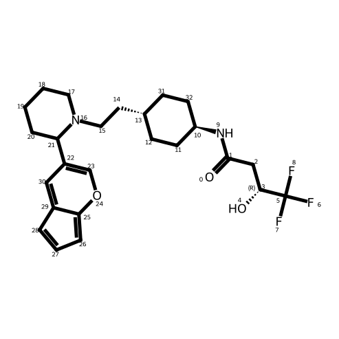 O=C(C[C@@H](O)C(F)(F)F)N[C@H]1CC[C@H](CCN2CCCCC2c2coc3cccc-3c2)CC1